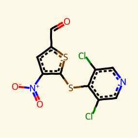 O=Cc1cc([N+](=O)[O-])c(Sc2c(Cl)cncc2Cl)s1